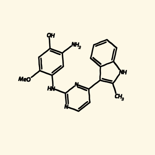 COc1cc(O)c(N)cc1Nc1nccc(-c2c(C)[nH]c3ccccc23)n1